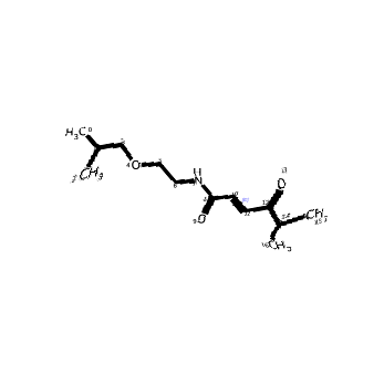 CC(C)COCCNC(=O)/C=C/C(=O)C(C)C